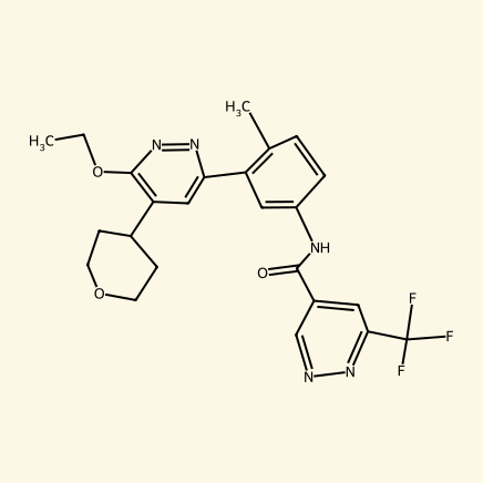 CCOc1nnc(-c2cc(NC(=O)c3cnnc(C(F)(F)F)c3)ccc2C)cc1C1CCOCC1